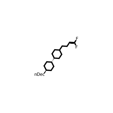 CCCCCCCCCC[C@H]1CC[C@H](C2CCC(CCC=C(F)F)CC2)CC1